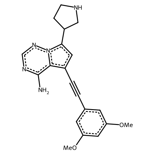 COc1cc(C#Cc2cc(C3CCNC3)n3ncnc(N)c23)cc(OC)c1